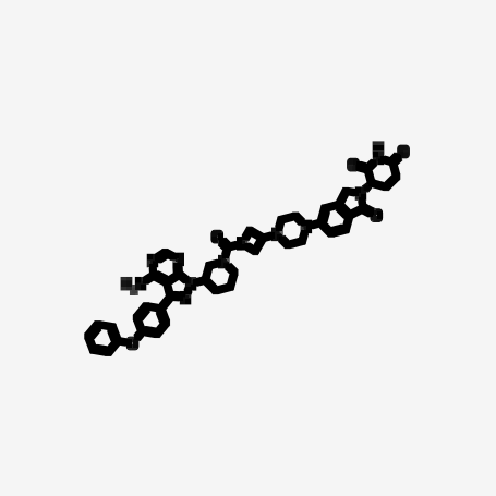 Nc1ncnc2c1c(-c1ccc(Oc3ccccc3)cc1)nn2C1CCCN(C(=O)N2CC(N3CCN(c4ccc5c(c4)CN([C@@H]4CCC(=O)NC4=O)C5=O)CC3)C2)C1